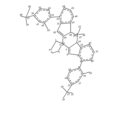 CC[Si]1(CC)C2=Cc3c(-c4ccc(C(C)(C)C)cc4C)cccc3[CH]2[Hf]([CH3])([CH3])[CH]2C1=Cc1c(-c3ccc(C(C)(C)C)cc3C)cccc12